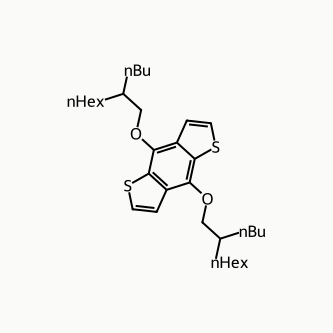 CCCCCCC(CCCC)COc1c2ccsc2c(OCC(CCCC)CCCCCC)c2ccsc12